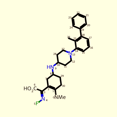 CNC1=C(C(=NF)C(=O)O)CC(NC2CCN(c3cccc(-c4ccccc4)c3C)CC2)CC1